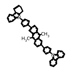 Cc1c2ccc(-c3ccc(-n4c5ccccc5c5ccccc54)cc3)cc2c(C)c2ccc(-c3ccc(-n4c5c(c6ccccc64)C=CCC5)cc3)cc12